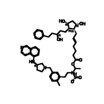 Cc1ccc(CN2CC[C@@H](Nc3cccc4cnccc34)C2)cc1CCN(C(C)OC(=O)CCCC=CC[C@@H]1[C@@H](CC[C@@H](O)CCc2ccccc2)[C@H](O)C[C@@H]1O)[SH](=O)=O